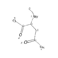 CNC(CC(=O)O)C(=O)Cl